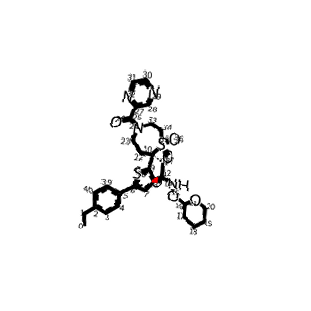 CCc1ccc(-c2ccc([C@@]3(CC(=O)NOC4CCCCO4)CCN(C(=O)c4cnccn4)CCS3(=O)=O)s2)cc1